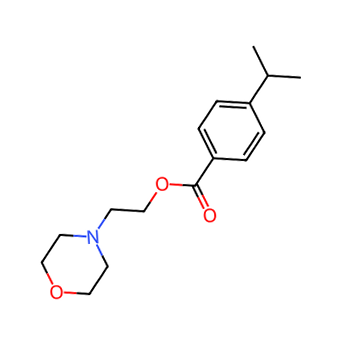 CC(C)c1ccc(C(=O)OCCN2CCOCC2)cc1